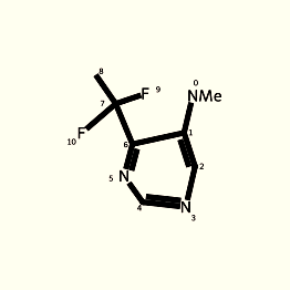 CNc1cncnc1C(C)(F)F